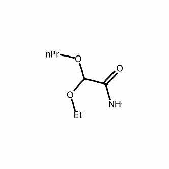 CCCOC(OCC)C([NH])=O